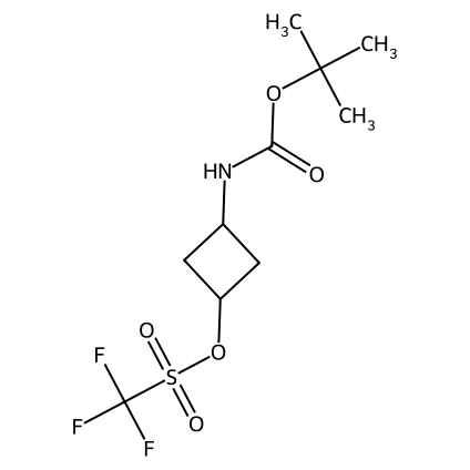 CC(C)(C)OC(=O)NC1CC(OS(=O)(=O)C(F)(F)F)C1